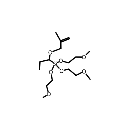 C=C(C)COC(CC)[Si](OCCOC)(OCCOC)OCCOC